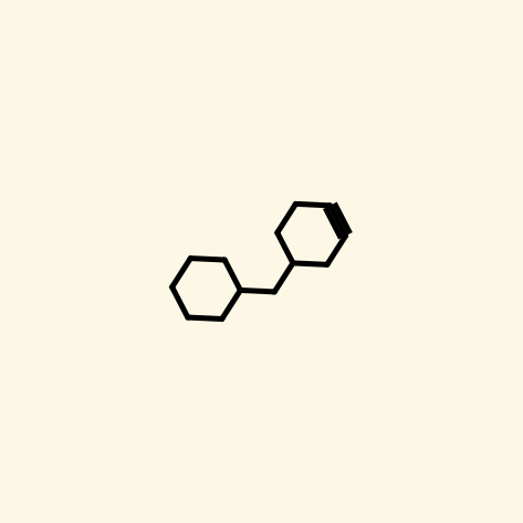 C1#CCC(CC2CCCCC2)CC1